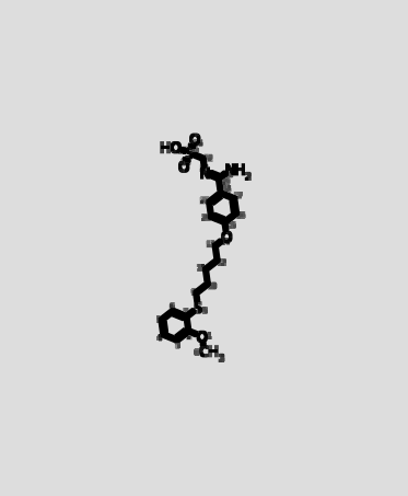 COc1ccccc1SCCCCCOc1ccc(C(N)=NCS(=O)(=O)O)cc1